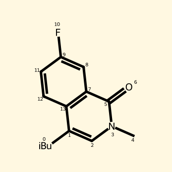 CCC(C)c1cn(C)c(=O)c2cc(F)ccc12